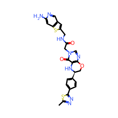 Cc1nnc(-c2ccc([C@@H]3COc4ncn(CC(=O)NCc5cc6cnc(N)cc6s5)c(=O)c4N3)cc2)s1